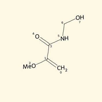 C=C(OC)C(=O)NCO